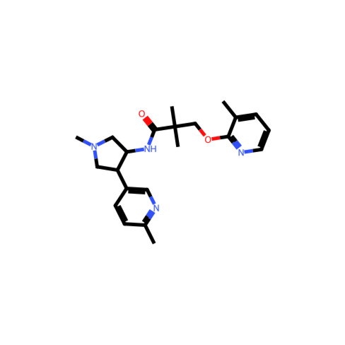 Cc1ccc(C2CN(C)CC2NC(=O)C(C)(C)COc2ncccc2C)cn1